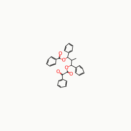 CC(C(OC(=O)C(=O)c1ccccc1)c1ccccc1)C(OC(=O)c1ccccc1)c1ccccc1